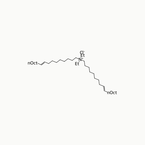 CCCCCCCCC=CCCCCCCCC[N+](CC)(CC)CCCCCCCCC=CCCCCCCCC.[Cl-]